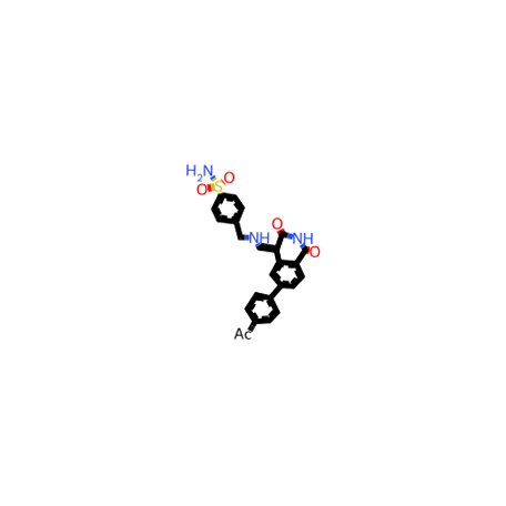 CC(=O)c1ccc(-c2ccc3c(c2)C(=CNCc2ccc(S(N)(=O)=O)cc2)C(=O)NC3=O)cc1